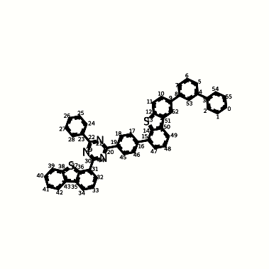 c1ccc(-c2cccc(-c3ccc4sc5c(-c6ccc(-c7nc(-c8ccccc8)nc(-c8cccc9c8sc8ccccc89)n7)cc6)cccc5c4c3)c2)cc1